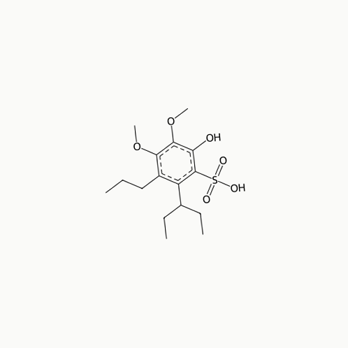 CCCc1c(OC)c(OC)c(O)c(S(=O)(=O)O)c1C(CC)CC